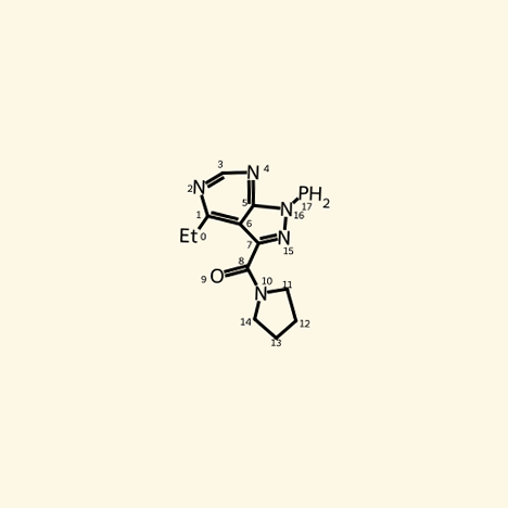 CCc1ncnc2c1c(C(=O)N1CCCC1)nn2P